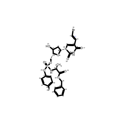 C[C@H](NP(=O)(OC[C@H]1O[C@@H](n2cc(/C=C/Br)c(=O)[nH]c2=O)CC1O)Oc1ccc(F)cc1)C(=O)OCc1ccccc1